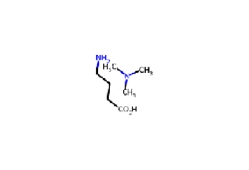 CN(C)C.NCCCC(=O)O